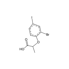 CC(Oc1ccc(I)cc1Br)C(=O)O